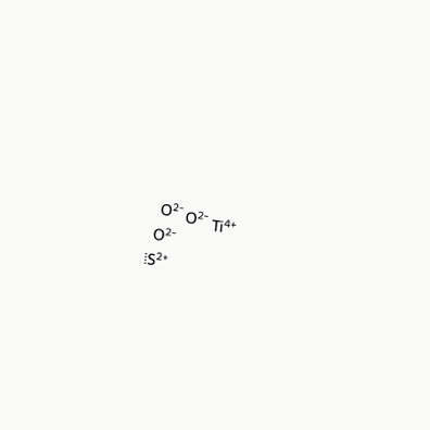 [O-2].[O-2].[O-2].[S+2].[Ti+4]